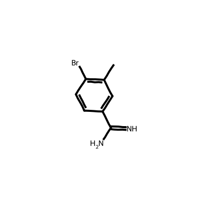 Cc1cc(C(=N)N)ccc1Br